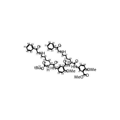 COC(=O)c1cc(NC(=O)[C@H](CCCCNCC(=O)c2ccccc2)NC(=O)c2cc(NC(=O)[C@H](CCCCNCC(=O)c3ccccc3)NC(=O)OC(C)(C)C)ccc2OC)ccc1OC